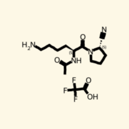 CC(=O)N[C@@H](CCCCN)C(=O)N1CCC[C@H]1C#N.O=C(O)C(F)(F)F